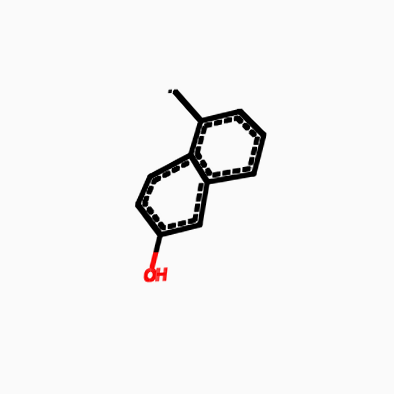 [CH2]c1cccc2cc(O)ccc12